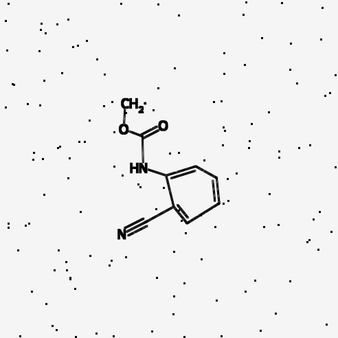 [CH2]OC(=O)Nc1ccccc1C#N